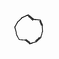 C1=C\C/C=C\C=C\CCCCC/C=C/1